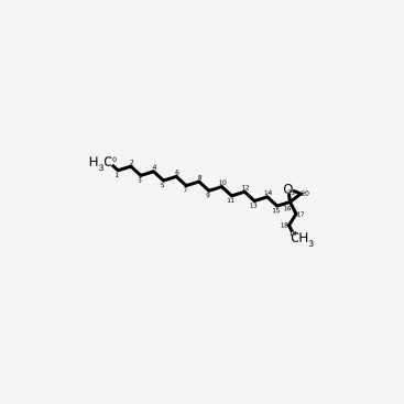 CCCCCCCCCCCCCCCCC1(CCC)CO1